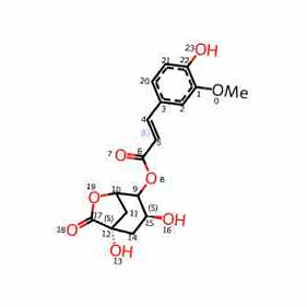 COc1cc(/C=C/C(=O)OC2C3C[C@@](O)(C[C@@H]2O)C(=O)O3)ccc1O